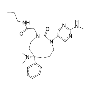 CCCNC(=O)CN1CC[C@@](c2ccccc2)(N(C)C)CCCN(c2cnc(NC)nc2)C1=O